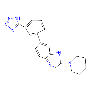 c1cc(-c2ccc3ncc(N4CCCCC4)nc3c2)cc(-c2nnn[nH]2)c1